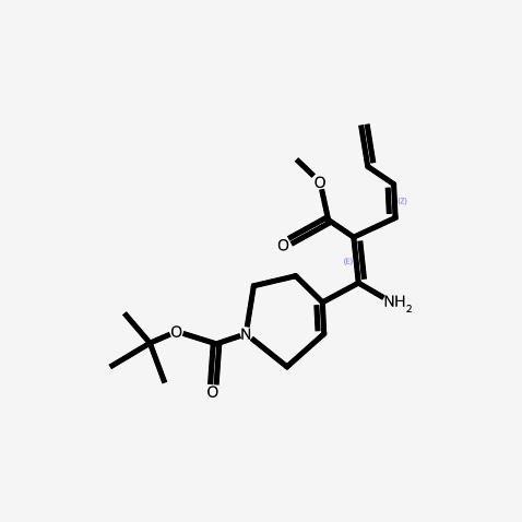 C=C/C=C\C(C(=O)OC)=C(/N)C1=CCN(C(=O)OC(C)(C)C)CC1